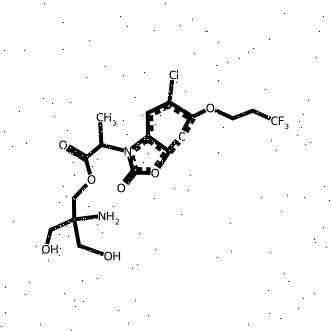 CC(C(=O)OCC(N)(CO)CO)n1c(=O)oc2cc(OCCC(F)(F)F)c(Cl)cc21